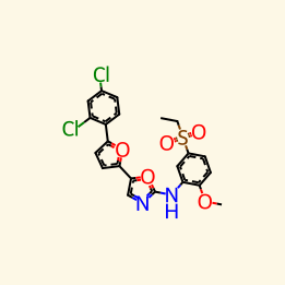 CCS(=O)(=O)c1ccc(OC)c(Nc2ncc(-c3ccc(-c4ccc(Cl)cc4Cl)o3)o2)c1